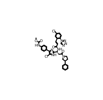 COC(=O)Nc1ccc(-c2nc([C@H](CC(=O)N3CCC(c4ccccc4)C3)NC(=O)/C=C/c3cc(Cl)ccc3-n3cnnn3)[nH]c2Cl)cc1